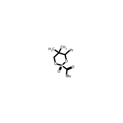 CC(C)C1OP(=O)(C(=O)C(C)(C)C)OCC1(C)C